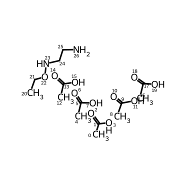 CC(=O)O.CC(=O)O.CC(=O)O.CC(=O)O.CC(=O)O.CCONCCN